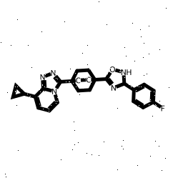 Fc1ccc(C2N=C(C34CCC(c5nnc6c(C7CC7)cccn56)(CC3)CC4)ON2)cc1